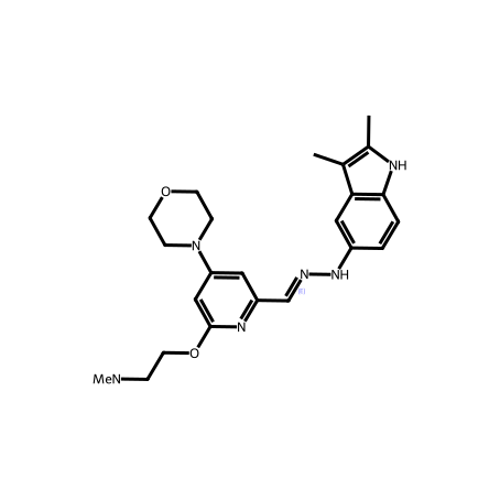 CNCCOc1cc(N2CCOCC2)cc(/C=N/Nc2ccc3[nH]c(C)c(C)c3c2)n1